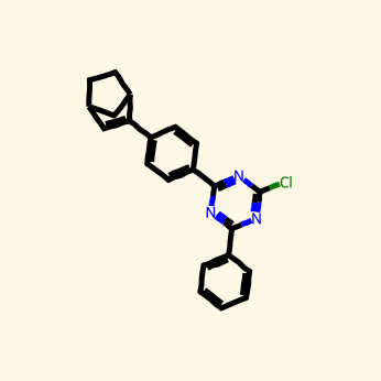 Clc1nc(-c2ccccc2)nc(-c2ccc(C3=CC4CCC3C4)cc2)n1